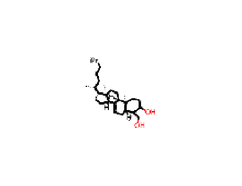 CC(C)CCC[C@@H](C)[C@H]1CC[C@H]2C3=CC[C@@H]4[C@](C)(CCC(O)[C@@]4(C)CO)[C@H]3CC[C@]12C